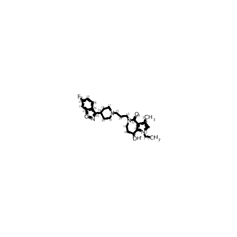 CCn1cc(C)c2c1C(O)CCN(CCCN1CCC(c3noc4cc(F)ccc34)CC1)C2=O